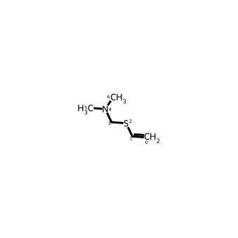 C=CSCN(C)C